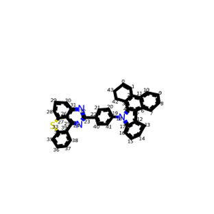 C1=Cc2c(c3c(c4ccccc24)c2ccccc2n3-c2ccc(-c3nc4c5c(cccc5n3)Sc3ccccc3-4)cc2)CC1